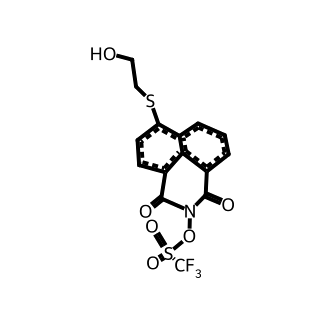 O=C1c2cccc3c(SCCO)ccc(c23)C(=O)N1OS(=O)(=O)C(F)(F)F